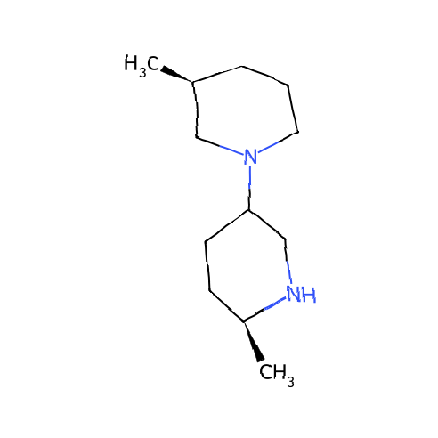 C[C@H]1CCCN(C2CC[C@H](C)NC2)C1